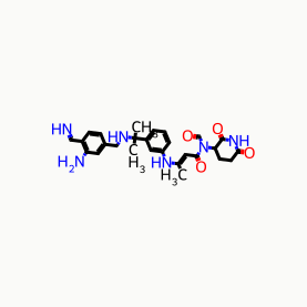 C/C(=C\C(=O)N(C=O)C1CCC(=O)NC1=O)Nc1cccc(C(C)(C)NCc2ccc(C=N)c(N)c2)c1